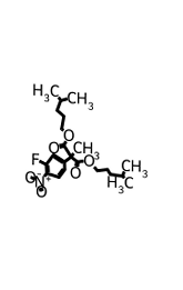 CC(C)CCCOC(=O)C(C)(C(=O)OCCCC(C)C)c1ccc([N+](=O)[O-])c(F)c1